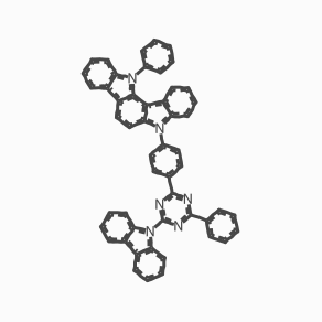 c1ccc(-c2nc(-c3ccc(-n4c5ccccc5c5c4ccc4c6ccccc6n(-c6ccccc6)c45)cc3)nc(-n3c4ccccc4c4ccccc43)n2)cc1